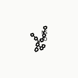 c1ccc(-c2ccc(N(c3ccc(-c4ccccc4)c(-c4cccc5ccccc45)c3)c3ccc4oc5cc6sc(-c7ccccc7)nc6cc5c4c3)cc2)cc1